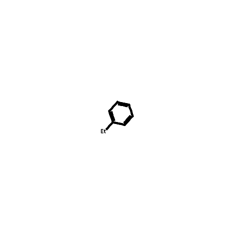 [CH2]Cc1c[c]ccc1